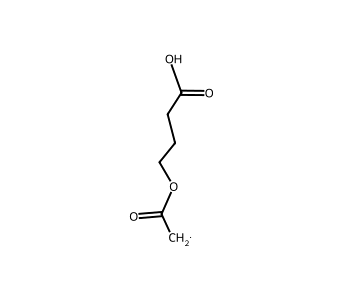 [CH2]C(=O)OCCCC(=O)O